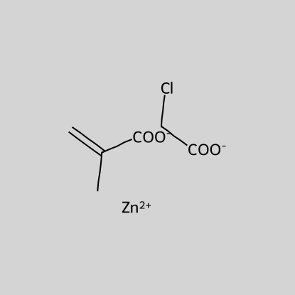 C=C(C)C(=O)[O-].O=C([O-])CCl.[Zn+2]